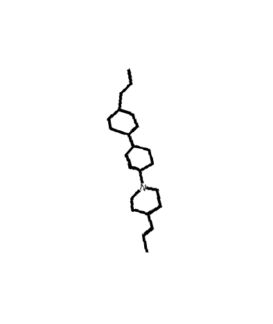 CCCC1CCC(C2CCC(N3CCC(CCC)CC3)CC2)CC1